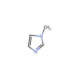 Cn1[c]cn[c]1